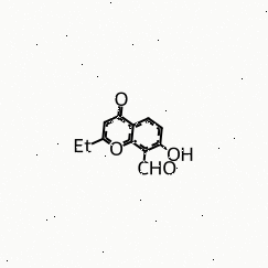 CCc1cc(=O)c2ccc(O)c(C=O)c2o1